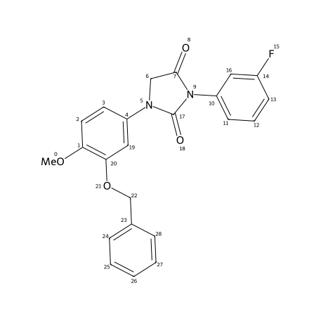 COc1ccc(N2CC(=O)N(c3cccc(F)c3)C2=O)cc1OCc1ccccc1